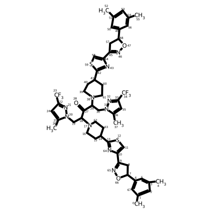 Cc1cc(C)cc(C2CC(c3csc(C4CCN(C(Cn5nc(C(F)(F)F)cc5C)C(=O)C(Cn5nc(C(F)(F)F)cc5C)N5CCC(c6nc(C7=NOC(c8cc(C)cc(C)c8)C7)cs6)CC5)CC4)n3)=NO2)c1